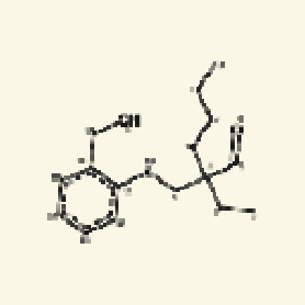 CCCCC(C=O)(CC)CSc1ccccc1CO